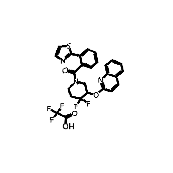 O=C(O)C(F)(F)F.O=C(c1ccccc1-c1nccs1)N1CCC(F)(F)C(Oc2ccc3ccccc3n2)C1